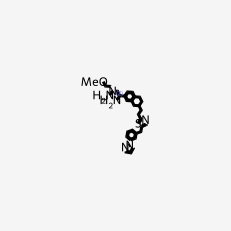 COCCN(N)/C=C(\N)c1ccc2c(c1)CC(CCc1ncc(Cc3cccc(-n4cccn4)c3)s1)CC2